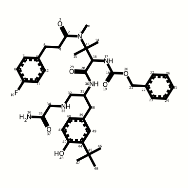 CN(C(=O)CCc1ccc(F)cc1)C(C)(C)C(NC(=O)OCc1ccccc1)C(=O)NC(CNCC(N)=O)Cc1ccc(O)c(C(C)(C)C)c1